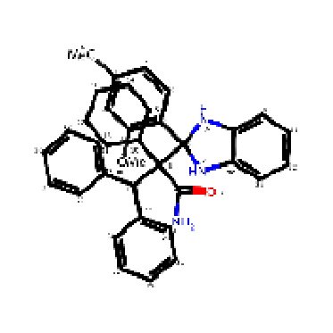 COc1ccc(C2(C(C(N)=O)(C3CCCCC3)C(c3ccccc3)c3ccccc3)Nc3ccccc3N2)c(OC)c1